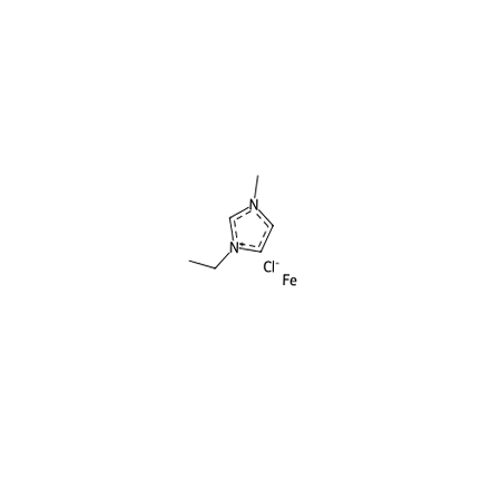 CC[n+]1ccn(C)c1.[Cl-].[Fe]